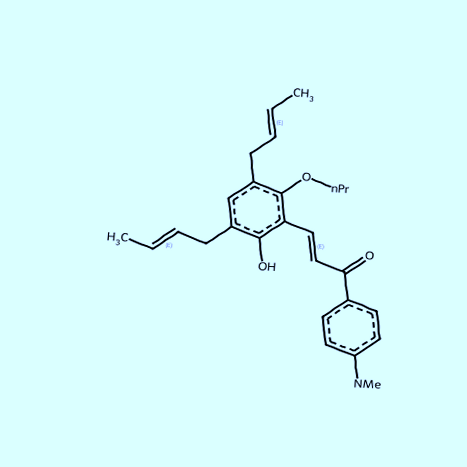 C/C=C/Cc1cc(C/C=C/C)c(OCCC)c(/C=C/C(=O)c2ccc(NC)cc2)c1O